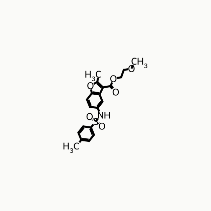 COCCOC(=O)c1c(C)oc2ccc(NS(=O)(=O)c3ccc(C)cc3)cc12